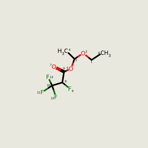 CCOC(C)OC(=O)C(F)C(F)(F)F